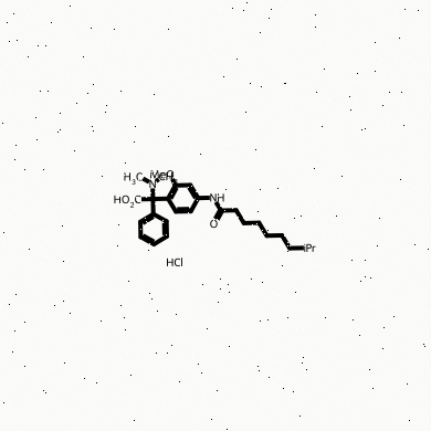 COc1cc(NC(=O)CCCCCCC(C)C)ccc1C(C(=O)O)(c1ccccc1)N(C)C.Cl